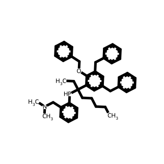 CCCCCC(CC)(Pc1ccccc1CN(C)C)c1cc(Cc2ccccc2)cc(Cc2ccccc2)c1OCc1ccccc1